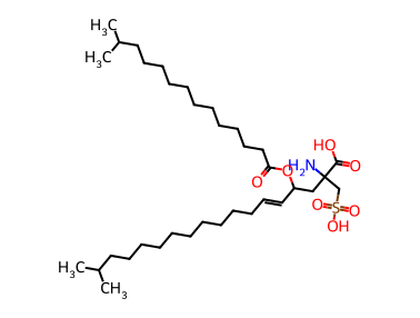 CC(C)CCCCCCCCCCC=CC(CC(N)(CS(=O)(=O)O)C(=O)O)OC(=O)CCCCCCCCCCCC(C)C